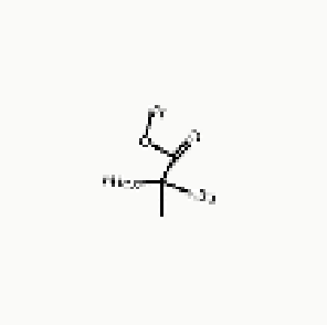 CCCCCCC(C)(CCCC)C(=O)OC(C)C